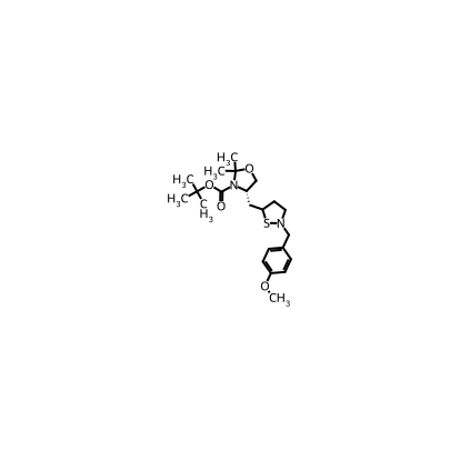 COc1ccc(CN2CCC(C[C@H]3COC(C)(C)N3C(=O)OC(C)(C)C)S2)cc1